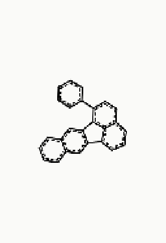 c1ccc(-c2ccc3cccc4c3c2-c2cc3ccccc3cc2-4)cc1